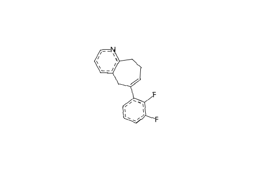 Fc1cccc(C2=CCCc3ncccc3C2)c1F